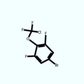 Fc1cc(Br)cc(F)c1OC(F)(F)Cl